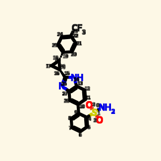 NS(=O)(=O)c1ccccc1-c1ccc2[nH]c([C@H]3C[C@@H]3c3ccc(C(F)(F)F)cc3)nc2c1